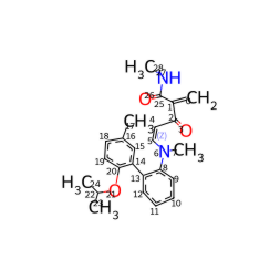 C=C(C(=O)/C=C\N(C)c1ccccc1-c1cc(C)ccc1OC(C)C)C(=O)NC